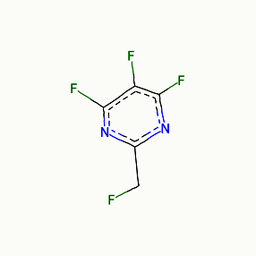 FCc1nc(F)c(F)c(F)n1